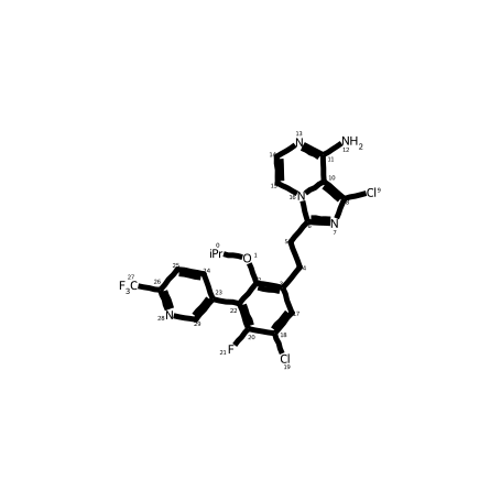 CC(C)Oc1c(CCc2nc(Cl)c3c(N)nccn23)cc(Cl)c(F)c1-c1ccc(C(F)(F)F)nc1